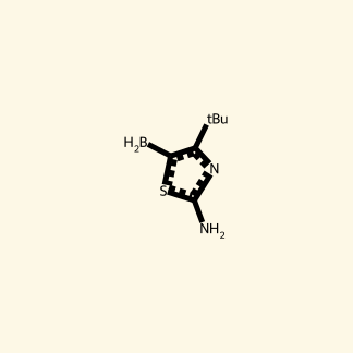 Bc1sc(N)nc1C(C)(C)C